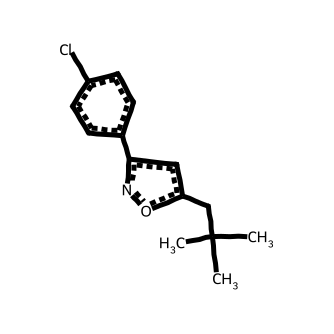 CC(C)(C)Cc1cc(-c2ccc(Cl)cc2)no1